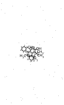 Cc1ccccc1N(C(=O)C(c1ccccc1)N(C(=O)O)C(C)(C)C)C(C)C